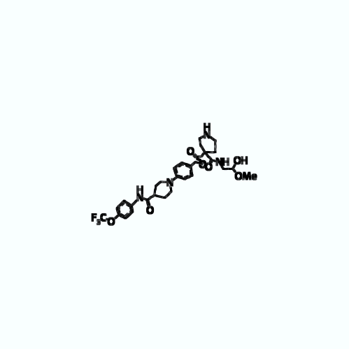 COC(O)CNC(=O)C1(S(=O)(=O)c2ccc(N3CCC(C(=O)Nc4ccc(OC(F)(F)F)cc4)CC3)cc2)CCNCC1